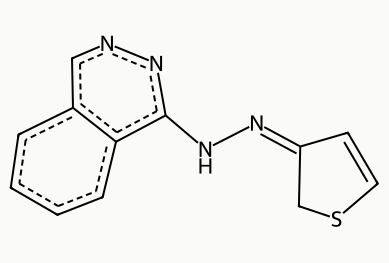 C1=CC(=NNc2nncc3ccccc23)CS1